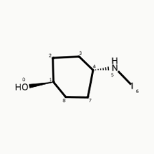 O[C@H]1CC[C@H](NI)CC1